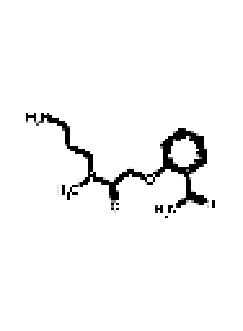 CN(CCCN)C(=O)COc1ccccc1C(N)=O